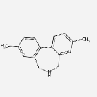 Cc1ccc2c(c1)CNCc1cc(C)ccc1-2